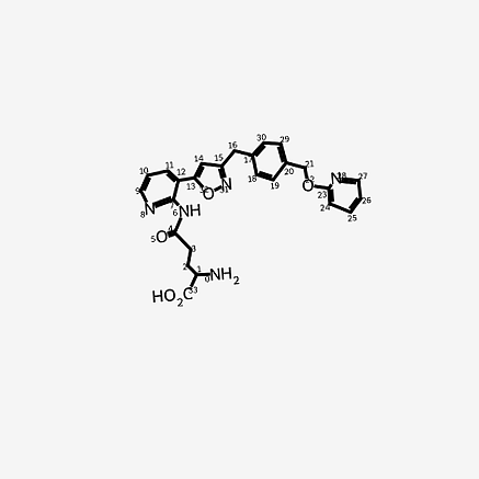 NC(CCC(=O)Nc1ncccc1-c1cc(Cc2ccc(COc3ccccn3)cc2)no1)C(=O)O